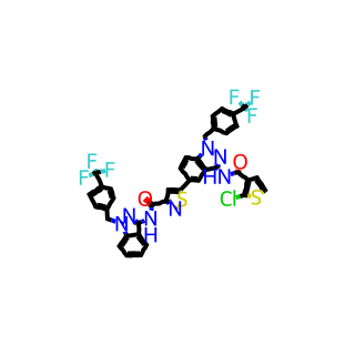 O=C(Nc1nn(Cc2ccc(C(F)(F)F)cc2)c2ccccc12)c1cc(-c2ccc3c(c2)c(NC(=O)c2ccsc2Cl)nn3Cc2ccc(C(F)(F)F)cc2)sn1